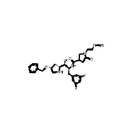 CC(C)OCCN1CC(C(=O)N[C@@H](Cc2cc(F)cc(F)c2)[C@H](O)[C@H]2C[C@@H](OCc3ccccc3)CN2)CC1=O